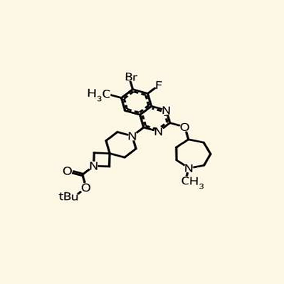 Cc1cc2c(N3CCC4(CC3)CN(C(=O)OC(C)(C)C)C4)nc(OC3CCCN(C)CC3)nc2c(F)c1Br